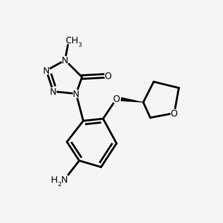 Cn1nnn(-c2cc(N)ccc2O[C@H]2CCOC2)c1=O